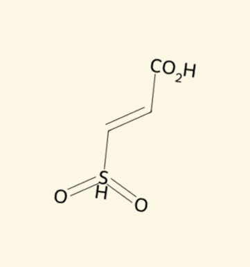 O=C(O)C=C[SH](=O)=O